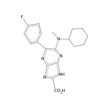 CN(c1nc2[nH]c(C(=O)O)nc2nc1-c1ccc(F)cc1)C1CCCCC1